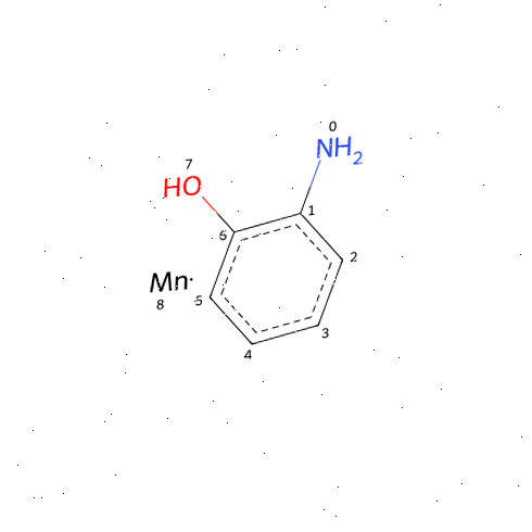 Nc1ccccc1O.[Mn]